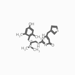 Cc1cc(O)cc(C)c1C[C@H](CNc1nc(=O)cc(Cc2ccsc2)[nH]1)N(C)C